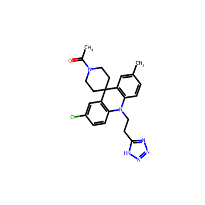 CC(=O)N1CCC2(CC1)c1cc(C)ccc1N(CCc1nnn[nH]1)c1ccc(Cl)cc12